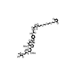 CC[C@H](C)[C@@H]([C@@H](CC(=O)N1CCC[C@H]1[C@H](OC)[C@@H](C)C(=O)NS(=O)(=O)Cc1ccc(NC(=O)CNC(=O)C(NC(=O)CCOCCOCCOCCN2C(=O)C=CC2=O)C(C)C)cc1)OC)N(C)C(=O)CNC(=O)C(C(C)C)N(C)C